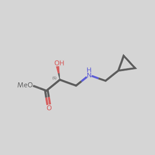 COC(=O)[C@@H](O)CNCC1CC1